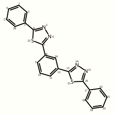 c1ccc(-c2nnc(-c3cccc(-c4nnc(-c5ccccc5)s4)c3)s2)cc1